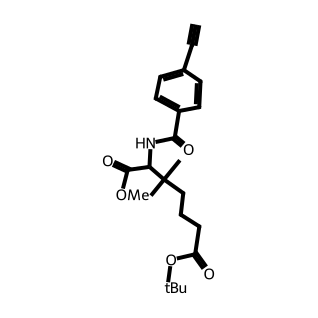 C#Cc1ccc(C(=O)NC(C(=O)OC)C(C)(C)CCCC(=O)OC(C)(C)C)cc1